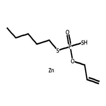 C=CCOP(=O)(S)SCCCCC.[Zn]